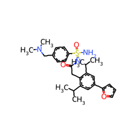 CC(C)c1cc(-c2ccco2)cc(C(C)C)c1CC(=O)N=S(N)(=O)c1ccc(CN(C)C)cc1